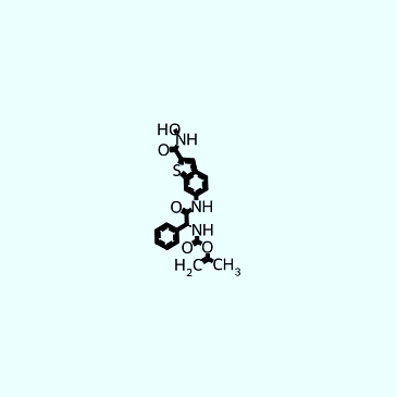 C=C(C)OC(=O)N[C@@H](C(=O)Nc1ccc2cc(C(=O)NO)sc2c1)c1ccccc1